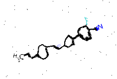 CCCC1CCC(/C=C/C2CCC(c3ccc(C#N)c(F)c3)CC2)CC1